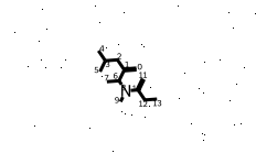 C=C(CC(C)C)C(C)N(C)C(=C)CC